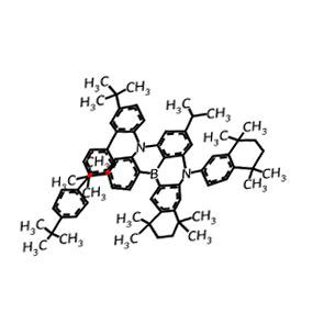 CC(C)c1cc2c3c(c1)N(c1ccc(C(C)(C)C)cc1-c1ccc(-c4ccc(C(C)(C)C)cc4)cc1)c1cc(C(C)(C)C)ccc1B3c1cc3c(cc1N2c1ccc2c(c1)C(C)(C)CCC2(C)C)C(C)(C)CCC3(C)C